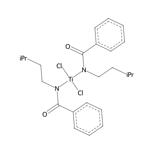 CC(C)CC[N](C(=O)c1ccccc1)[Ti]([Cl])([Cl])[N](CCC(C)C)C(=O)c1ccccc1